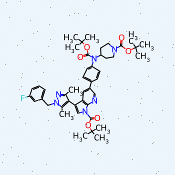 Cc1nn(Cc2cccc(F)c2)c(C)c1-c1cn(C(=O)OC(C)(C)C)c2ncc(-c3ccc(N(C(=O)OC(C)(C)C)C4CCN(C(=O)OC(C)(C)C)CC4)cc3)cc12